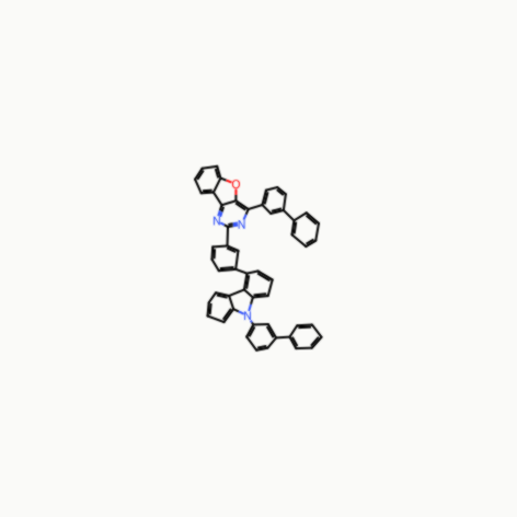 c1ccc(-c2cccc(-c3nc(-c4cccc(-c5cccc6c5c5ccccc5n6-c5cccc(-c6ccccc6)c5)c4)nc4c3oc3ccccc34)c2)cc1